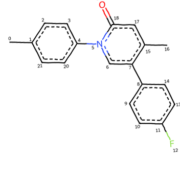 Cc1ccc(-n2cc(-c3ccc(F)cc3)c(C)cc2=O)cc1